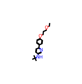 CCOCCCOc1ccc(-c2ccc(NC(C)(C)C)cn2)cc1